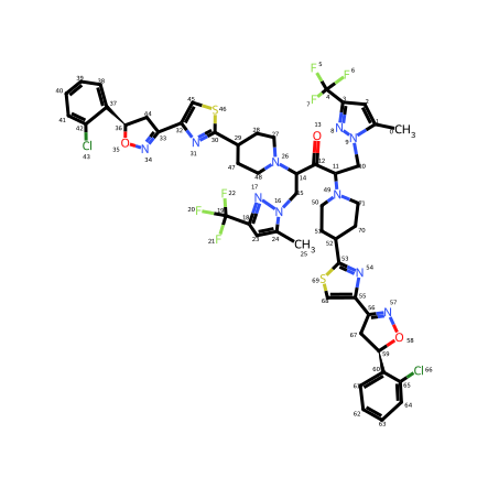 Cc1cc(C(F)(F)F)nn1CC(C(=O)C(Cn1nc(C(F)(F)F)cc1C)N1CCC(c2nc(C3=NO[C@@H](c4ccccc4Cl)C3)cs2)CC1)N1CCC(c2nc(C3=NO[C@@H](c4ccccc4Cl)C3)cs2)CC1